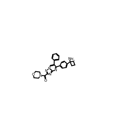 NC1(c2ccc(-c3nc4nc(C(=O)N5CCOCC5)nn4cc3-c3ccccc3)cc2)CCC1